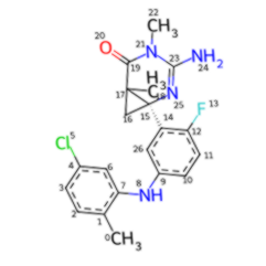 Cc1ccc(Cl)cc1Nc1ccc(F)c([C@]23CC2(C)C(=O)N(C)C(N)=N3)c1